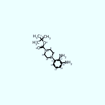 CC(C)(C)OC(=O)N1CCN(c2cccc(N)c2N)CC1